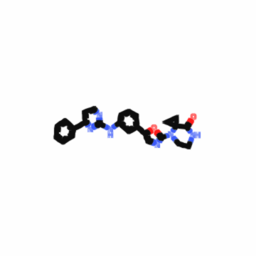 O=C1NCCN(c2ncc(-c3cccc(Nc4nccc(-c5ccccc5)n4)c3)o2)C12CC2